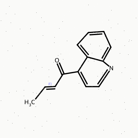 C/C=C/C(=O)c1ccnc2ccccc12